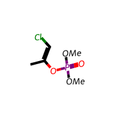 COP(=O)(OC)OC(C)=CCl